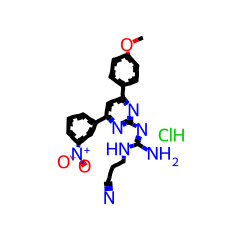 COc1ccc(-c2cc(-c3cccc([N+](=O)[O-])c3)nc(N=C(N)NCCC#N)n2)cc1.Cl